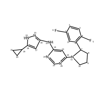 Fc1ccc(F)c(C2CCCN2c2cc(Nc3cc(C4CC4)[nH]n3)ncn2)c1